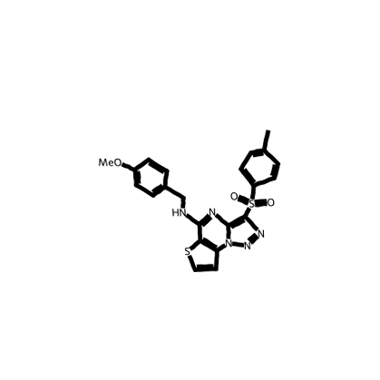 COc1ccc(CNc2nc3c(S(=O)(=O)c4ccc(C)cc4)nnn3c3ccsc23)cc1